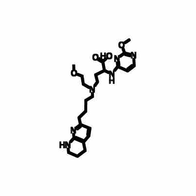 COCCN(CCCCc1ccc2c(n1)NCCC2)CCC(Nc1ccnc(OC)n1)C(=O)O